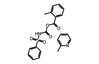 Cc1ccccc1C(=O)OC(=O)NS(=O)(=O)c1ccccc1.Cc1ccccn1